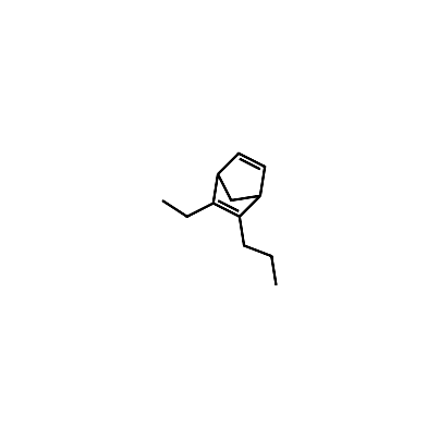 CCCC1=C(CC)C2C=CC1C2